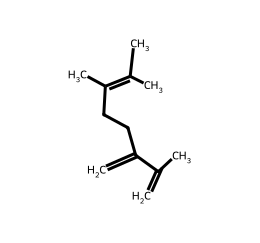 C=C(C)C(=C)CCC(C)=C(C)C